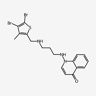 Cc1c(CNCCCNn2ccc(=O)c3ccccc32)sc(Br)c1Br